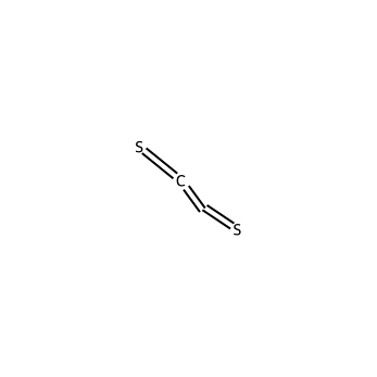 S=C=C=S